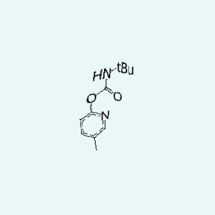 Cc1ccc(OC(=O)NC(C)(C)C)nc1